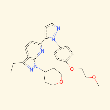 CCc1nn(C2CCOCC2)c2nc(-c3ccnn3-c3ccc(OCCOC)cc3)ccc12